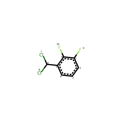 Fc1cccc(C(Cl)Cl)c1F